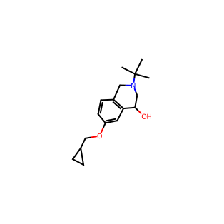 CC(C)(C)N1Cc2ccc(OCC3CC3)cc2C(O)C1